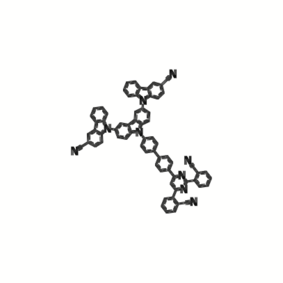 N#Cc1ccc2c(c1)c1ccccc1n2-c1ccc2c(c1)c1cc(-n3c4ccccc4c4cc(C#N)ccc43)ccc1n2-c1ccc(-c2ccc(-c3cc(-c4ccccc4C#N)nc(-c4ccccc4C#N)n3)cc2)cc1